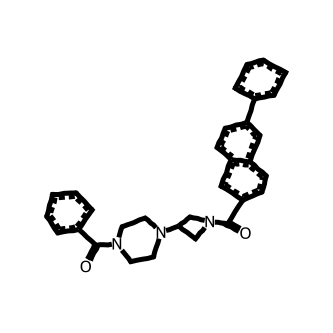 O=C(c1ccccc1)N1CCN(C2CN(C(=O)c3ccc4cc(-c5ccccc5)ccc4c3)C2)CC1